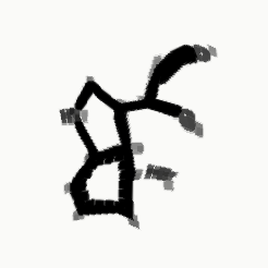 Br.O=CC(=O)C1CNc2ccccc21